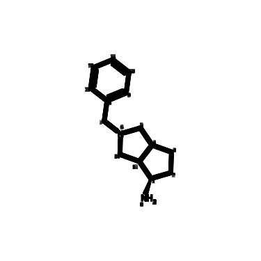 N[C@@H]1CCC2CN(Cc3ccccc3)CC21